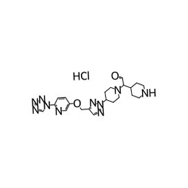 Cl.O=CC(C1CCNCC1)N1CCC(n2ncc(COc3ccc(-n4cnnn4)nc3)n2)CC1